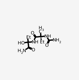 CCC(O)(NC(=O)[C@@](C)(CC)NC(N)=O)C(N)=O